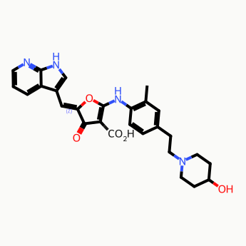 Cc1cc(CCN2CCC(O)CC2)ccc1NC1=C(C(=O)O)C(=O)/C(=C/c2c[nH]c3ncccc23)O1